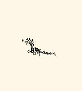 CC(C)(C)OC(=O)N[C@@H]1CCCN([C@H]2Cc3c(Cl)cc(Cl)cc3[C@@H]2Oc2ccc(S(=O)(=O)NCCOCCOCCN)cc2)C1